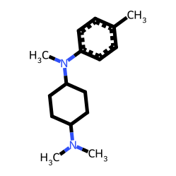 Cc1ccc(N(C)C2CCC(N(C)C)CC2)cc1